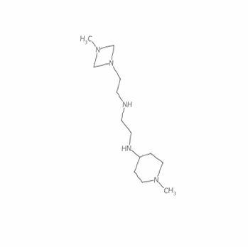 CN1CCC(NCCNCCN2CN(C)C2)CC1